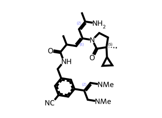 CN/C=C(\CNC)c1cc(C#N)cc(CNC(=O)C(C)/C=C(\C=C(\C)N)N2CC[C@@](C)(C3CC3)C2=O)c1